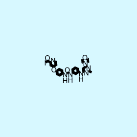 Cc1nc(Nc2cccc(NC(=O)Nc3ccc(Oc4ccnc(C(=O)I)c4)cc3)c2)cc(N2CCOCC2)n1